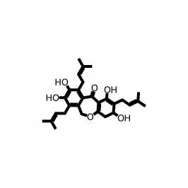 CC(C)=CCC1=C(O)C2=C(CC1O)OCc1c(CC=C(C)C)c(O)c(O)c(CC=C(C)C)c1C2=O